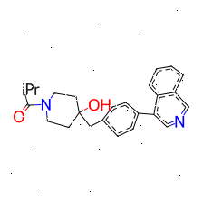 CC(C)C(=O)N1CCC(O)(Cc2ccc(-c3cncc4ccccc34)cc2)CC1